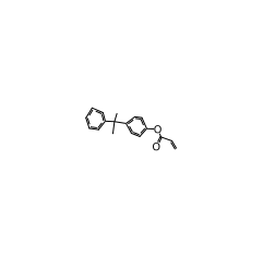 C=CC(=O)Oc1ccc(C(C)(C)c2ccccc2)cc1